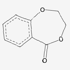 O=C1OCCOc2ccccc21